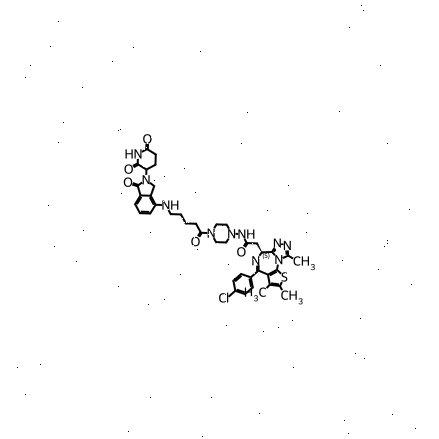 Cc1sc2c(c1C)C(c1ccc(Cl)cc1)=N[C@@H](CC(=O)NN1CCN(C(=O)CCCCNc3cccc4c3CN(C3CCC(=O)NC3=O)C4=O)CC1)c1nnc(C)n1-2